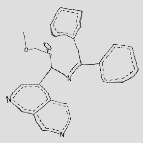 COC(=O)C(N=C(c1ccccc1)c1ccccc1)c1cncc2cnccc12